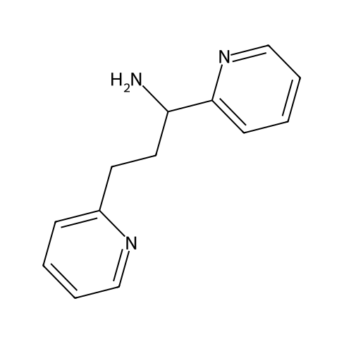 NC(CCc1ccccn1)c1ccccn1